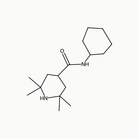 CC1(C)CC(C(=O)NC2CCCCC2)CC(C)(C)N1